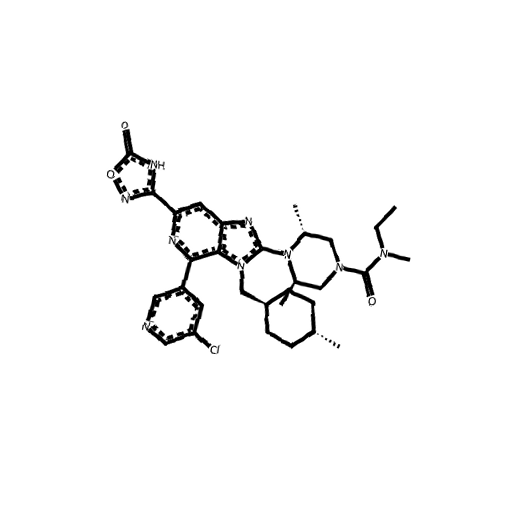 CCN(C)C(=O)N1C[C@@H](C)N(c2nc3cc(-c4noc(=O)[nH]4)nc(-c4cncc(Cl)c4)c3n2C[C@H]2CC[C@H](C)CC2)[C@H](C)C1